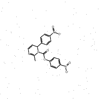 CC1=NC=CC(c2ccc([N+](=O)[O-])cc2)N1C(=O)Oc1ccc([N+](=O)[O-])cc1